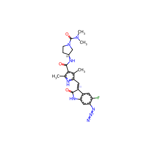 Cc1[nH]c(/C=C2\C(=O)Nc3cc(N=[N+]=[N-])c(F)cc32)c(C)c1C(=O)N[C@H]1CCN(C(=O)N(C)C)C1